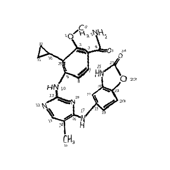 COc1c(C(N)=O)ccc(Nc2ncc(C)c(Nc3ccc4oc(=O)[nH]c4c3)n2)c1C1CC1